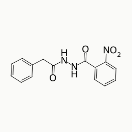 O=C(Cc1ccccc1)NNC(=O)c1ccccc1[N+](=O)[O-]